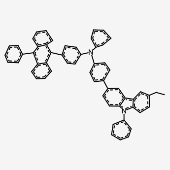 CCc1ccc2c(c1)c1cc(-c3ccc(N(c4ccccc4)c4ccc(-c5c6ccccc6c(-c6ccccc6)c6ccccc56)cc4)cc3)ccc1n2-c1ccccc1